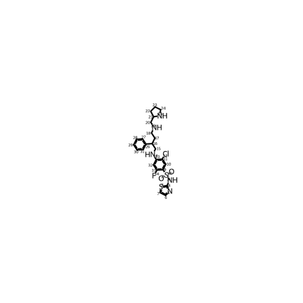 O=S(=O)(Nc1nccs1)c1cc(Cl)c(NCC(CCNCC2CCCN2)c2ccccc2)cc1F